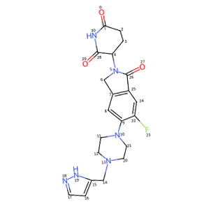 O=C1CCC(N2Cc3cc(N4CCN(Cc5ccn[nH]5)CC4)c(F)cc3C2=O)C(=O)N1